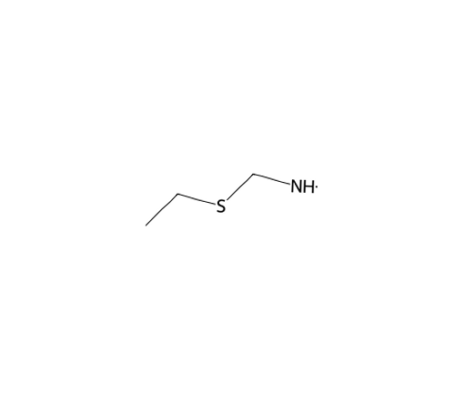 CCSC[NH]